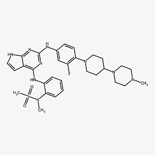 CN1CCN(C2CCN(c3ccc(Nc4nc(Nc5ccccc5N(C)S(C)(=O)=O)c5cc[nH]c5n4)cc3F)CC2)CC1